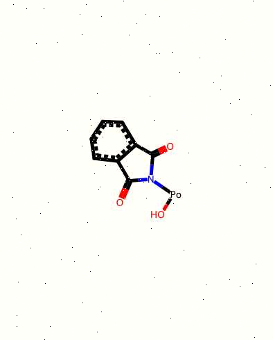 O=C1c2ccccc2C(=O)[N]1[Po][OH]